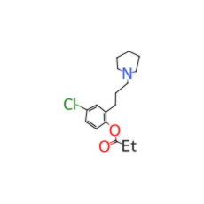 CCC(=O)Oc1ccc(Cl)cc1CCCN1CCCCC1